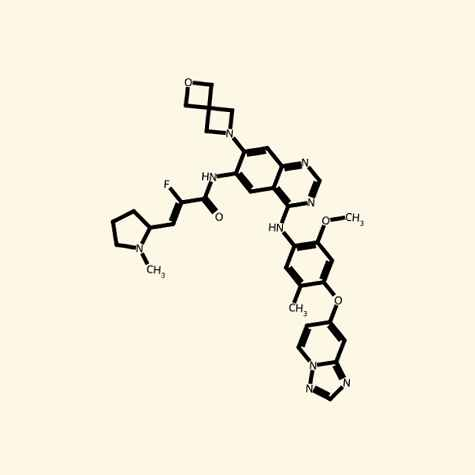 COc1cc(Oc2ccn3ncnc3c2)c(C)cc1Nc1ncnc2cc(N3CC4(COC4)C3)c(NC(=O)C(F)=CC3CCCN3C)cc12